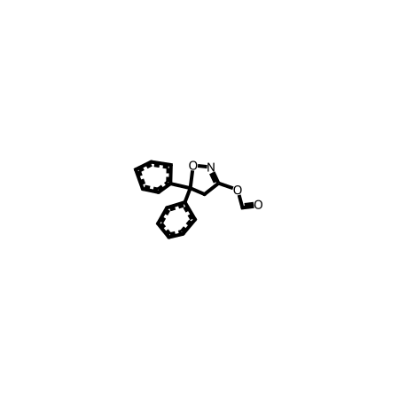 O=COC1=NOC(c2ccccc2)(c2ccccc2)C1